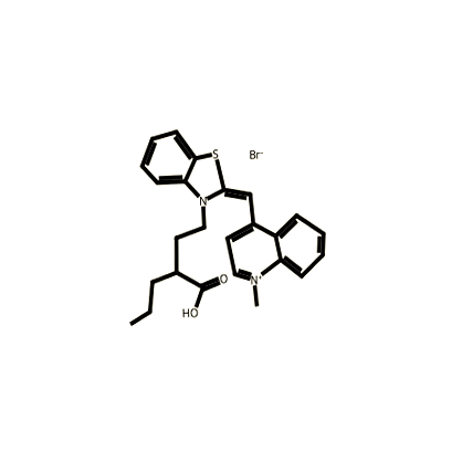 CCCC(CCN1C(=Cc2cc[n+](C)c3ccccc23)Sc2ccccc21)C(=O)O.[Br-]